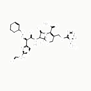 Cn1nnnc1SCC1=C(C(=O)O)N2C(=O)C(NC(=O)/C(=N\OC3C=CCCC3)c3csc(NC=O)n3)[C@H]2SC1